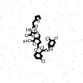 O=C(Cc1cccs1)NC1C(=O)N2C(C(=O)O)=C(C=CCOc3ccc(Cl)cc3C(=O)Nc3ccc(Cl)c(Cl)c3)CS[C@@H]12